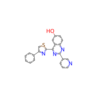 Oc1ccc2nc(-c3cccnc3)nc(-c3nc(-c4ccccc4)cs3)c2c1